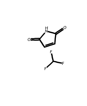 FC(F)F.O=C1C=CC(=O)N1